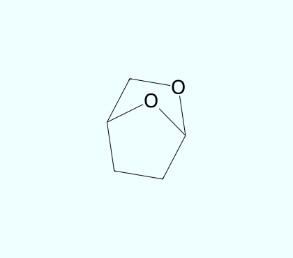 C1CC2OCC1O2